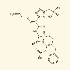 C=CCON=C(C(=O)NC1C(=O)N2C(OC(=O)O)=C(C[n+]3ccccc3)CS[C@@H]12)c1nsc(NP(=O)(O)O)n1